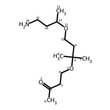 CC(=O)CCOC(C)(C)CCOC(C)CCN